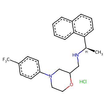 C[C@@H](NCC1CN(c2ccc(C(F)(F)F)cc2)CCO1)c1cccc2ccccc12.Cl